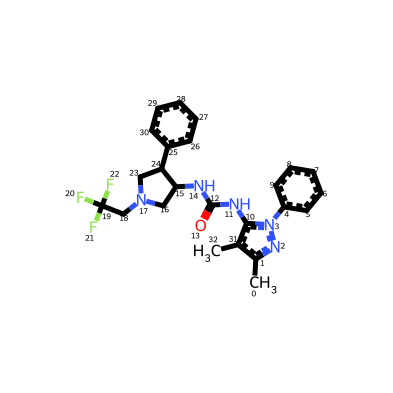 Cc1nn(-c2ccccc2)c(NC(=O)NC2CN(CC(F)(F)F)CC2c2ccccc2)c1C